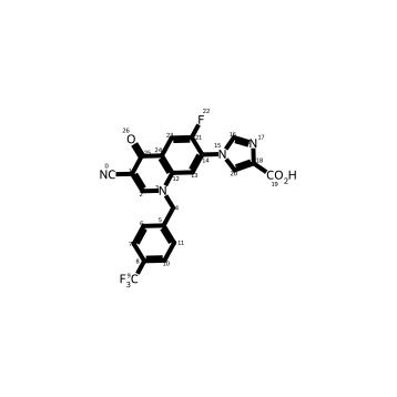 N#Cc1cn(Cc2ccc(C(F)(F)F)cc2)c2cc(-n3cnc(C(=O)O)c3)c(F)cc2c1=O